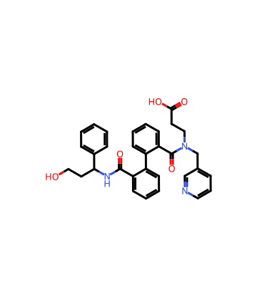 O=C(O)CCN(Cc1cccnc1)C(=O)c1ccccc1-c1ccccc1C(=O)NC(CCO)c1ccccc1